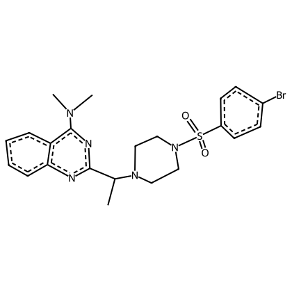 CC(c1nc(N(C)C)c2ccccc2n1)N1CCN(S(=O)(=O)c2ccc(Br)cc2)CC1